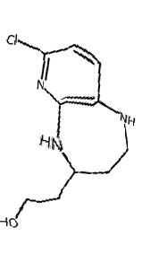 OCCC1CCNc2ccc(Cl)nc2N1